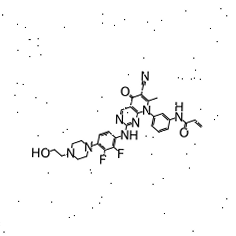 C=CC(=O)Nc1cccc(-n2c(C)c(C#N)c(=O)c3cnc(Nc4ccc(N5CCN(CCO)CC5)c(F)c4F)nc32)c1